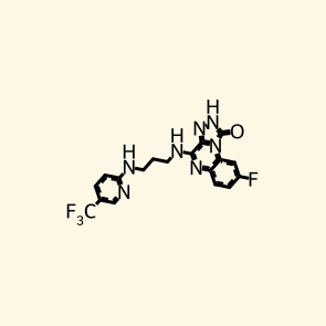 O=c1[nH]nc2c(NCCCNc3ccc(C(F)(F)F)cn3)nc3ccc(F)cc3n12